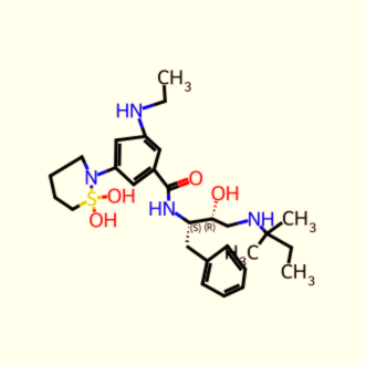 CCNc1cc(C(=O)N[C@@H](Cc2ccccc2)[C@H](O)CNC(C)(C)CC)cc(N2CCCCS2(O)O)c1